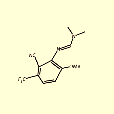 COc1ccc(C(F)(F)F)c(C#N)c1N=CN(C)C